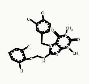 Cn1c(=O)c2c(nc(NCCc3c(Cl)cccc3Cl)n2Cc2ccc(Cl)c(Cl)c2)n(C)c1=O